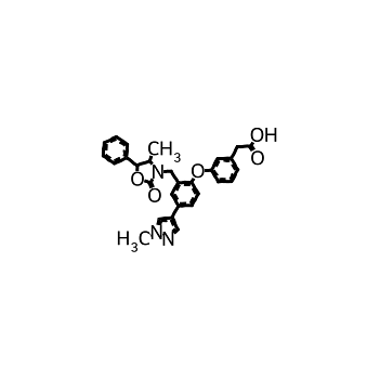 CC1C(c2ccccc2)OC(=O)N1Cc1cc(-c2cnn(C)c2)ccc1Oc1cccc(CC(=O)O)c1